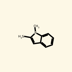 Cn1c([SiH3])cc2ccccc21